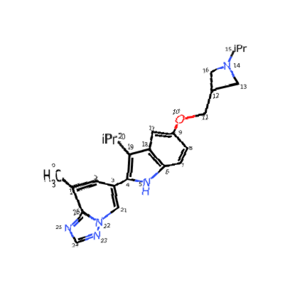 Cc1cc(-c2[nH]c3ccc(OCC4CN(C(C)C)C4)cc3c2C(C)C)cn2ncnc12